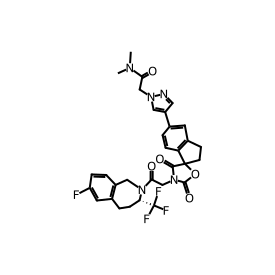 CN(C)C(=O)Cn1cc(-c2ccc3c(c2)CCC32OC(=O)N(CC(=O)N3Cc4ccc(F)cc4CC[C@H]3C(F)(F)F)C2=O)cn1